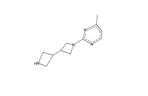 Cc1ccnc(N2CC(C3CNC3)C2)n1